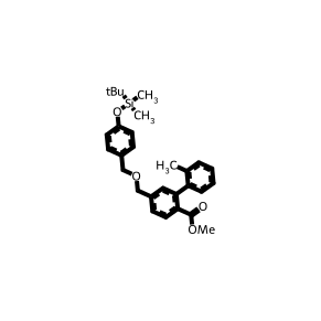 COC(=O)c1ccc(COCc2ccc(O[Si](C)(C)C(C)(C)C)cc2)cc1-c1ccccc1C